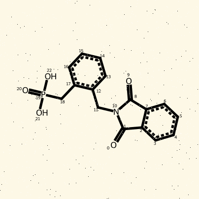 O=C1c2ccccc2C(=O)N1Cc1ccccc1CP(=O)(O)O